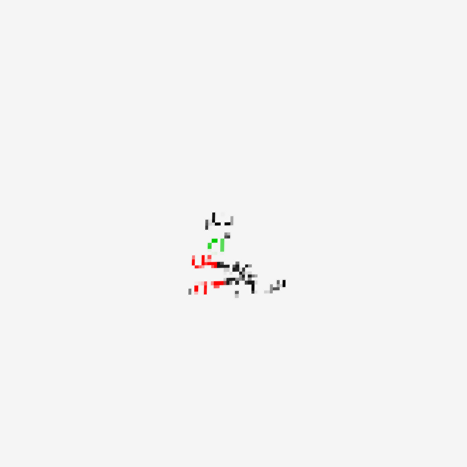 CC(=O)[O-].CC(=O)[O-].[Cl-].[Cu+2].[Cu+]